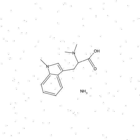 CN(C)C(Cc1cn(C)c2ccccc12)C(=O)O.N